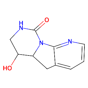 O=C1NCC(O)C2Cc3cccnc3N12